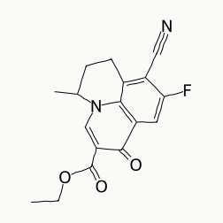 CCOC(=O)c1cn2c3c(c(C#N)c(F)cc3c1=O)CCC2C